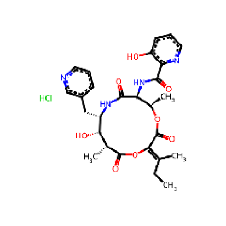 CC/C(C)=C1\OC(=O)[C@H](C)[C@H](O)[C@H](Cc2cccnc2)NC(=O)[C@@H](NC(=O)c2ncccc2O)[C@@H](C)OC1=O.Cl